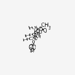 CC(C)OC(=O)OC[C@H]1O[C@@](C#N)(c2ccc3c(N)[n+](CC(C)C(=O)Cl)cnn23)[C@H](O)[C@@H]1O